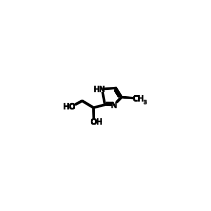 Cc1c[nH]c(C(O)CO)n1